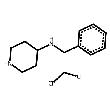 ClCCl.c1ccc(CNC2CCNCC2)cc1